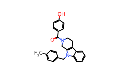 O=C(c1ccc(O)cc1)N1CCc2c(n(Cc3ccc(C(F)(F)F)cc3)c3ccccc23)C1